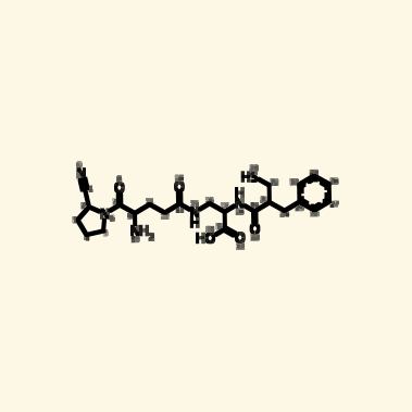 N#CC1CCCN1C(=O)C(N)CCC(=O)NCC(NC(=O)C(CS)Cc1ccccc1)C(=O)O